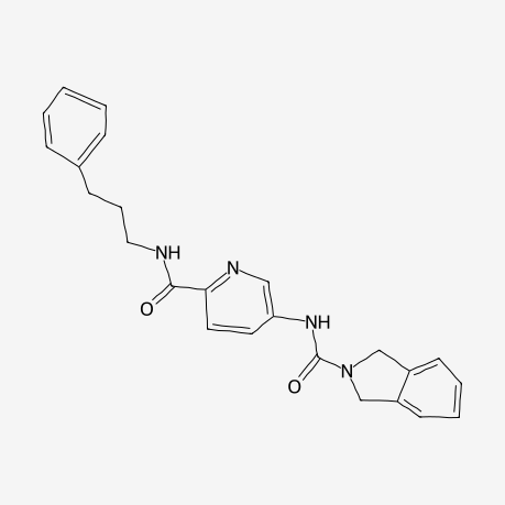 O=C(NCCCc1ccccc1)c1ccc(NC(=O)N2Cc3ccccc3C2)cn1